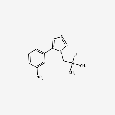 C[Si](C)(C)Cn1nncc1-c1cccc([N+](=O)[O-])c1